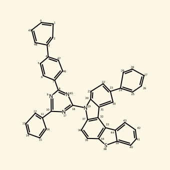 c1ccc(-c2ccc(-c3nc(-c4ccccc4)nc(-n4c5ccc(-c6ccccc6)cc5c5c6c(ccc54)sc4ccccc46)n3)cc2)cc1